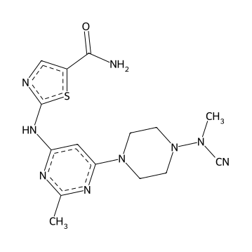 Cc1nc(Nc2ncc(C(N)=O)s2)cc(N2CCN(N(C)C#N)CC2)n1